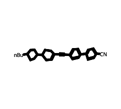 CCCCC1CCC(C2CC=C(C#Cc3ccc(-c4ccc(C#N)cc4)cc3)CC2)CC1